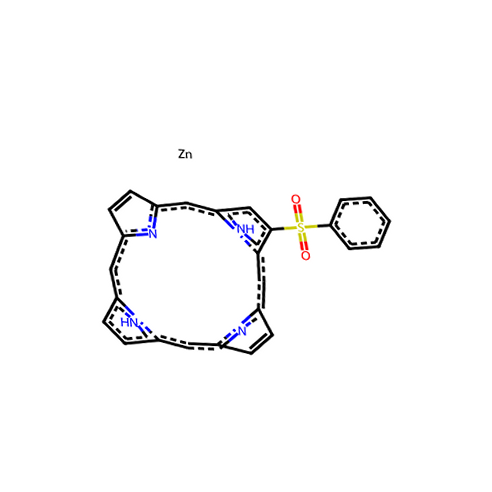 O=S(=O)(c1ccccc1)c1cc2cc3nc(cc4ccc(cc5nc(cc1[nH]2)C=C5)[nH]4)C=C3.[Zn]